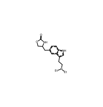 CCN(CC)CCc1c[nH]c2ccc(CC3COC(=O)N3)cc12